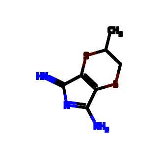 CC1CSC2=C(S1)C(=N)N=C2N